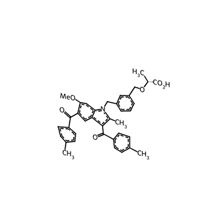 COc1cc2c(cc1C(=O)c1ccc(C)cc1)c(C(=O)c1ccc(C)cc1)c(C)n2Cc1cccc(CO[C@H](C)C(=O)O)c1